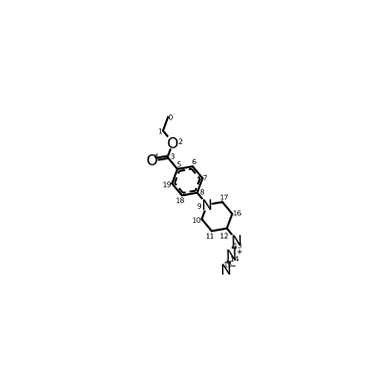 CCOC(=O)c1ccc(N2CCC(N=[N+]=[N-])CC2)cc1